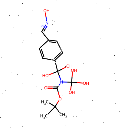 CC(C)(C)OC(=O)N(C(O)(O)O)C(O)(O)c1ccc(/C=N/O)cc1